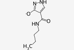 CCCCNC(=O)c1c[nH]nc1[O]